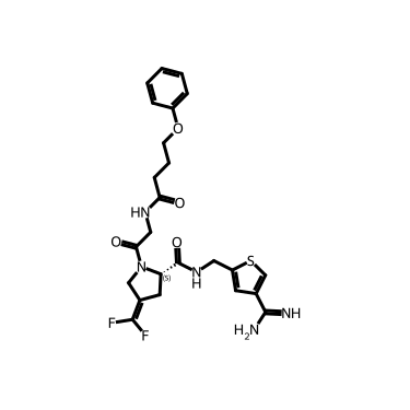 N=C(N)c1csc(CNC(=O)[C@@H]2CC(=C(F)F)CN2C(=O)CNC(=O)CCCOc2ccccc2)c1